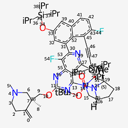 C=C1CCN(C)C[C@@]1(C)COc1nc(N2C[C@H]3CC[C@@H](C2)N3C(=O)OC(C)(C)C)c2c(OC)nc(-c3cc(O[Si](C(C)C)(C(C)C)C(C)C)cc4ccc(F)c(C#C[Si](C(C)C)(C(C)C)C(C)C)c34)c(F)c2n1